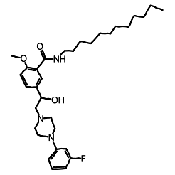 CCCCCCCCCCCCNC(=O)c1cc(C(O)CN2CCN(c3cccc(F)c3)CC2)ccc1OC